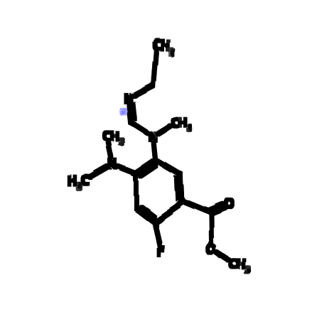 CC/N=C\N(C)c1cc(C(=O)OC)c(F)cc1N(C)C